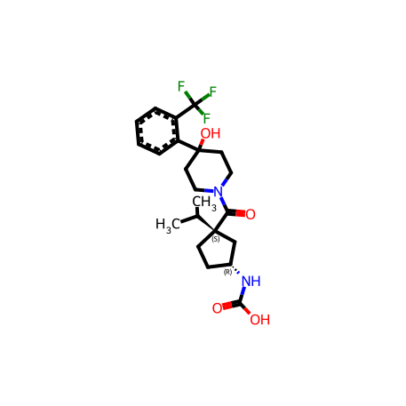 CC(C)[C@]1(C(=O)N2CCC(O)(c3ccccc3C(F)(F)F)CC2)CC[C@@H](NC(=O)O)C1